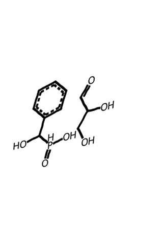 O=CC(O)CO.O=[PH](O)C(O)c1ccccc1